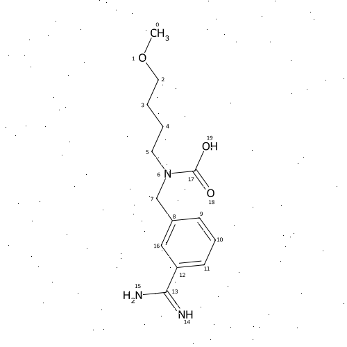 COCCCCN(Cc1cccc(C(=N)N)c1)C(=O)O